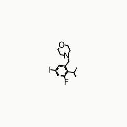 CC(C)c1c(F)cc(I)cc1CN1CCOCC1